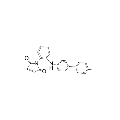 Cc1ccc(-c2ccc(Nc3ccccc3N3C(=O)C=CC3=O)cc2)cc1